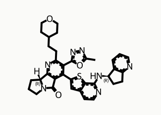 Cc1nnc(-c2c(CCC3CCOCC3)nc3c(c2-c2cc4ccnc(N[C@@H]5CCc6ncccc65)c4s2)C(=O)N2CCC[C@H]32)o1